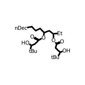 [CH2]CC(CC(CCCCCCCCCCCCC)OC(=O)CC(O)C(C)(C)C)OC(=O)CC(O)C(C)(C)C